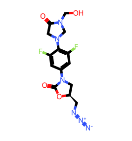 [N-]=[N+]=NC[C@@H]1CN(c2cc(F)c(N3CC(=O)N(CO)C3)c(F)c2)C(=O)O1